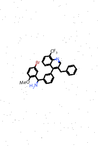 COc1ccc(Br)cc1C(N)c1cccc(-c2c(Cc3ccccc3)cnc3c(C(F)(F)F)cccc23)c1